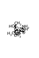 CC[C@H](O)[C@@H]1C[C@@H]([C@H](C)NC)[C@H](n2c(=O)sc3c(=O)[nH]c(N)nc32)O1